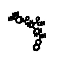 O=C(O)c1nn(CC(=O)N2CCc3[nH]nnc3C2)cc1-c1cnc(NC2Cc3ccccc3C2)nc1